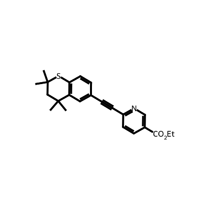 CCOC(=O)c1ccc(C#Cc2ccc3c(c2)C(C)(C)CC(C)(C)S3)nc1